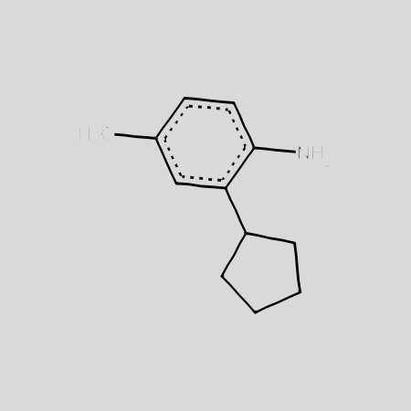 Cc1ccc(N)c(C2CCCC2)c1